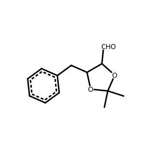 CC1(C)OC(C=O)C(Cc2ccccc2)O1